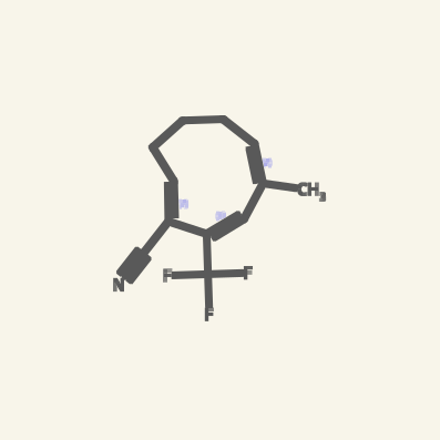 CC1=C/CCC/C=C(C#N)/C(C(F)(F)F)=C\1